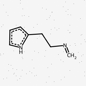 C=NCCc1ccc[nH]1